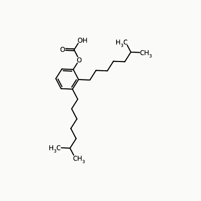 CC(C)CCCCCc1cccc(OC(=O)O)c1CCCCCC(C)C